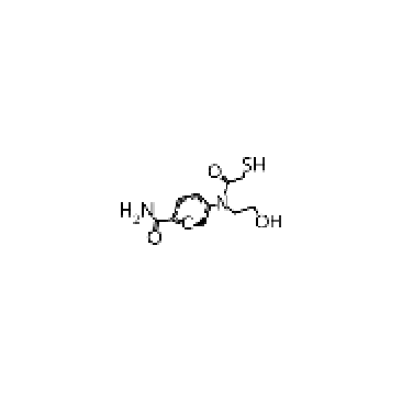 NC(=O)c1ccc(N(CCO)C(=O)CS)cc1